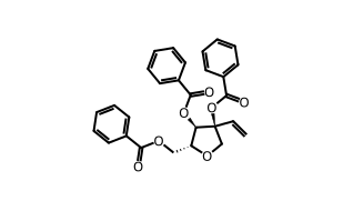 C=C[C@]1(OC(=O)c2ccccc2)CO[C@H](COC(=O)c2ccccc2)[C@H]1OC(=O)c1ccccc1